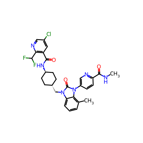 CNC(=O)c1ccc(-n2c(=O)n(C[C@H]3CC[C@H](NC(=O)c4cc(Cl)cnc4C(F)F)CC3)c3cccc(C)c32)cn1